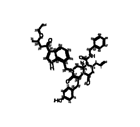 C=CCN1CC(=O)N2[C@@H](Cc3ccc(O)cc3)C(=O)N(Cc3cccc4c(C(=O)CC(C)OCC)c[nH]c34)C[C@@H]2N1C(=O)NCc1ccccc1